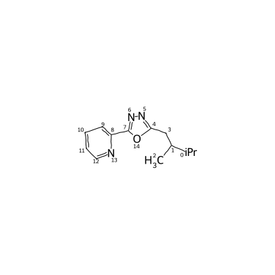 CC(C)C(C)Cc1nnc(-c2ccccn2)o1